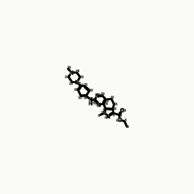 CCOC(=O)c1nn(C)c2c1CCc1cnc(Nc3ccc(N4CCN(C)CC4)cc3)nc1-2